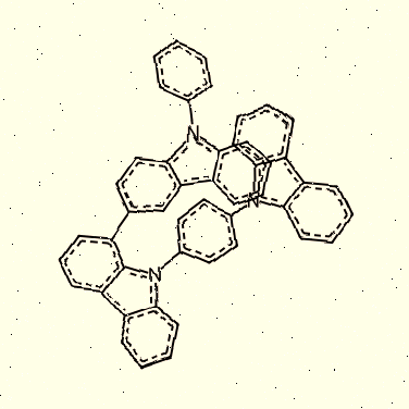 c1ccc(-n2c3ccccc3c3cc(-c4cccc5c6ccccc6n(-c6ccc(-n7c8ccccc8c8ccccc87)cc6)c45)ccc32)cc1